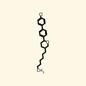 CCCCCCCC1CCC(c2ccc(-c3ccc(Cl)cc3)cc2)OC1